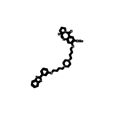 COc1cc2c(cc1OCCCCN1CCN(CCCCOc3cccc(-c4nc5ccccc5s4)c3)CC1)N=C[C@@H]1CCCN1C2=O